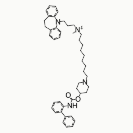 C[N+](C)(CCCCCCCCCN1CCC(OC(=O)Nc2ccccc2-c2ccccc2)CC1)CCCN1c2ccccc2CCc2ccccc21